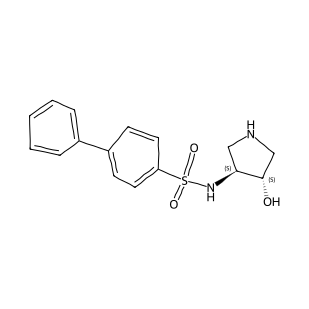 O=S(=O)(N[C@H]1CNC[C@@H]1O)c1ccc(-c2ccccc2)cc1